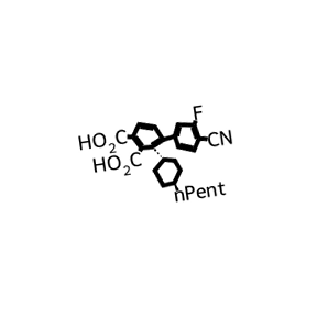 CCCCC[C@H]1CC[C@H](c2c(-c3ccc(C#N)c(F)c3)ccc(C(=O)O)c2C(=O)O)CC1